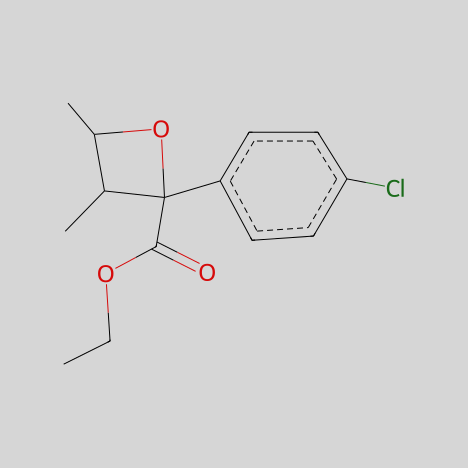 CCOC(=O)C1(c2ccc(Cl)cc2)OC(C)C1C